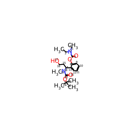 CCN(CC)C(=O)Oc1ccccc1C(CCO)N(C)C(=O)OC(C)(C)C